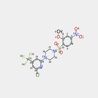 COc1cc([N+](=O)[O-])ccc1S(=O)(=O)N1CCN(c2cc(C(F)(F)F)cc(Cl)n2)CC1